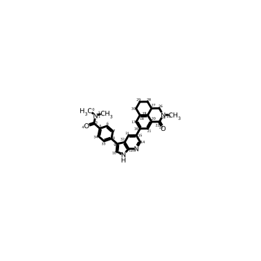 CN(C)C(=O)c1ccc(-c2c[nH]c3ncc(-c4cc5c6c(c4)C(=O)N(C)CC6CCC5)cc23)cc1